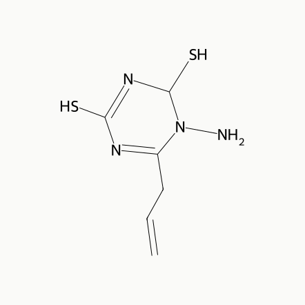 C=CCC1=NC(S)=NC(S)N1N